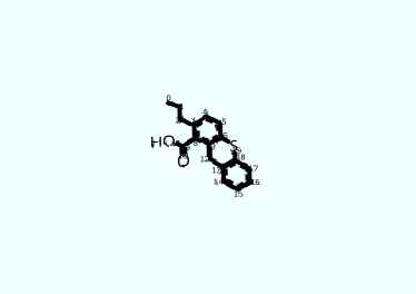 CCCc1ccc2c(c1C(=O)O)Cc1ccccc1S2